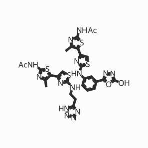 CC(=O)Nc1nc(C)c(-c2csc(NCCc3nnn[nH]3)n2)s1.CC(=O)Nc1nc(C)c(-c2csc(Nc3cccc(-c4nnc(O)o4)c3)n2)s1